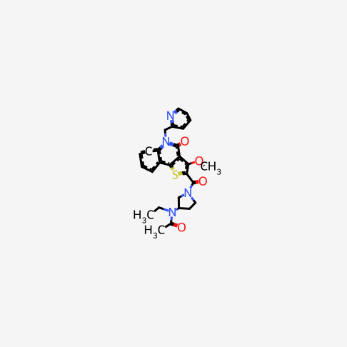 CCN(C(C)=O)C1CCN(C(=O)c2sc3c(c2OC)c(=O)n(Cc2ccccn2)c2ccccc32)C1